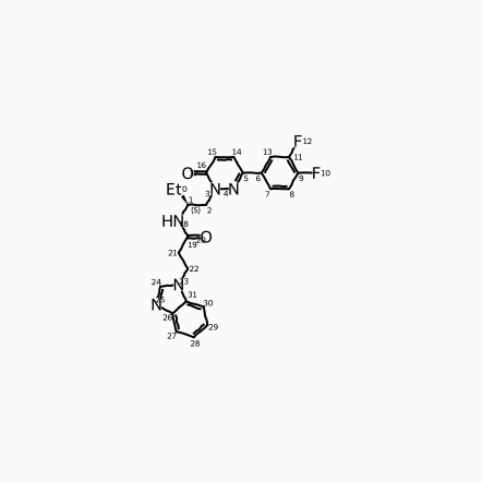 CC[C@@H](Cn1nc(-c2ccc(F)c(F)c2)ccc1=O)NC(=O)CCn1cnc2ccccc21